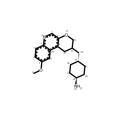 COc1ccc2ncc3c(c2c1)CC(C[C@H]1CC[C@H](N)CC1)CO3